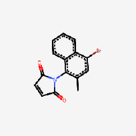 Cc1cc(Br)c2ccccc2c1N1C(=O)C=CC1=O